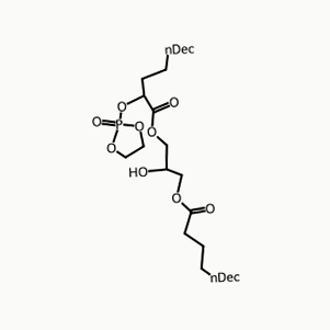 CCCCCCCCCCCCCC(=O)OCC(O)COC(=O)C(CCCCCCCCCCCC)OP1(=O)OCCO1